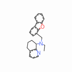 CCN(Cc1cccc2c1oc1ccccc12)[C@@H]1CCCc2cccnc21